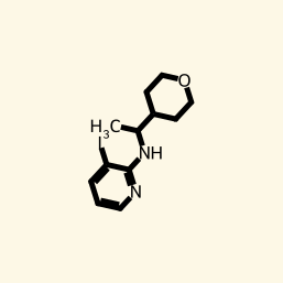 CC(Nc1ncccc1I)C1CCOCC1